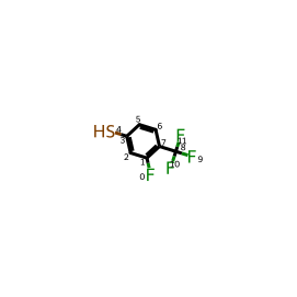 Fc1cc(S)ccc1C(F)(F)F